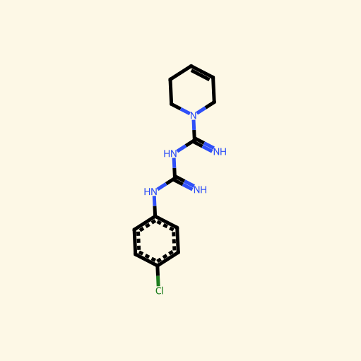 N=C(NC(=N)N1CC=CCC1)Nc1ccc(Cl)cc1